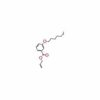 C=CCOC(=O)c1cccc(OCCCCCI)c1